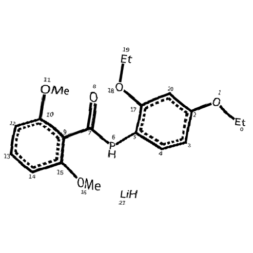 CCOc1ccc(PC(=O)c2c(OC)cccc2OC)c(OCC)c1.[LiH]